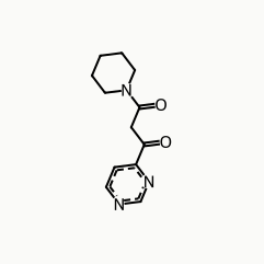 O=C(CC(=O)N1CCCCC1)c1ccncn1